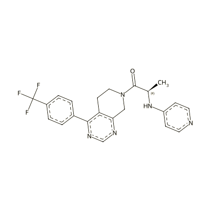 C[C@@H](Nc1ccncc1)C(=O)N1CCc2c(ncnc2-c2ccc(C(F)(F)F)cc2)C1